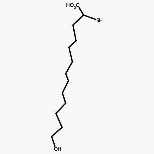 O=C(O)C(S)CCCCCCCCCCCO